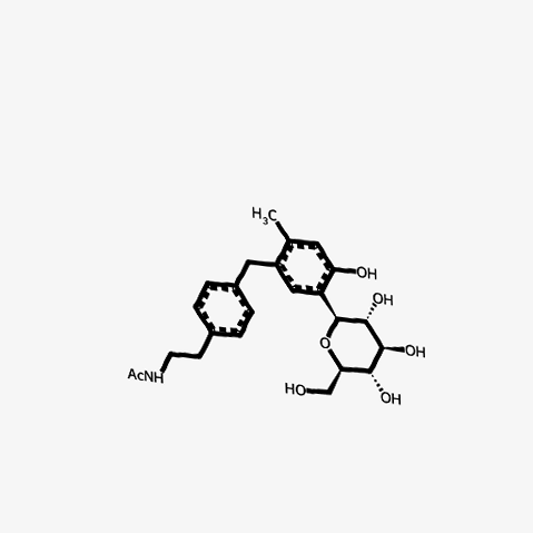 CC(=O)NCCc1ccc(Cc2cc([C@@H]3O[C@H](CO)[C@@H](O)[C@H](O)[C@H]3O)c(O)cc2C)cc1